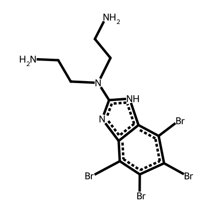 NCCN(CCN)c1nc2c(Br)c(Br)c(Br)c(Br)c2[nH]1